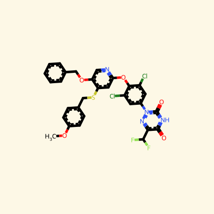 COc1ccc(CSc2cc(Oc3c(Cl)cc(-n4nc(C(F)F)c(=O)[nH]c4=O)cc3Cl)ncc2OCc2ccccc2)cc1